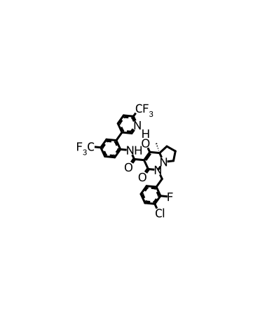 C[C@]12CCCN1N(Cc1cccc(Cl)c1F)C(=O)C(C(=O)Nc1ccc(C(F)(F)F)cc1-c1ccc(C(F)(F)F)nc1)=C2O